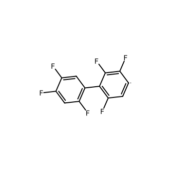 Fc1[c]cc(F)c(-c2cc(F)c(F)cc2F)c1F